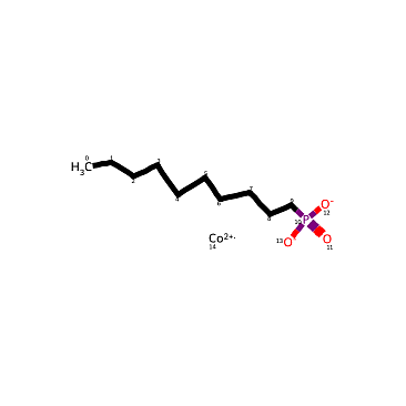 CCCCCCCCCCP(=O)([O-])[O-].[Co+2]